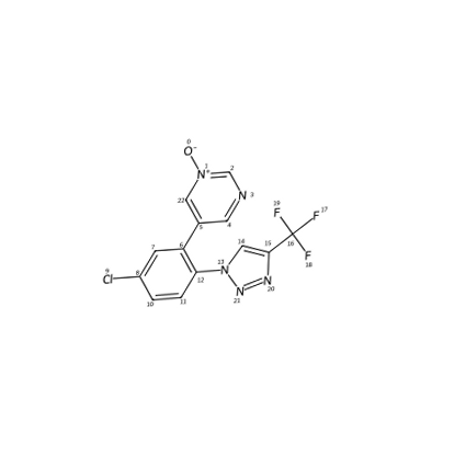 [O-][n+]1cncc(-c2cc(Cl)ccc2-n2cc(C(F)(F)F)nn2)c1